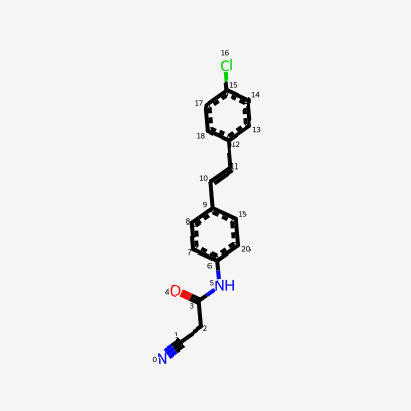 N#CCC(=O)Nc1ccc(/C=C/c2ccc(Cl)cc2)cc1